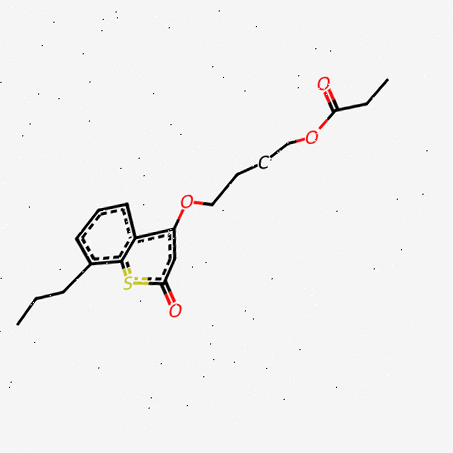 CCCc1cccc2c(OCCCCOC(=O)CC)cc(=O)sc12